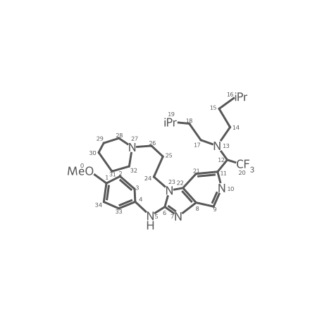 COc1ccc(Nc2nc3cnc(C(N(CCC(C)C)CCC(C)C)C(F)(F)F)cc3n2CCCN2CCCCC2)cc1